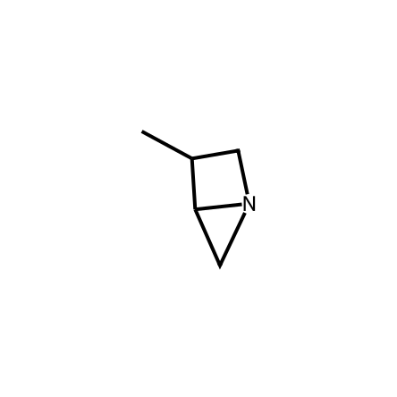 CC1CN2CC12